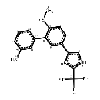 CSc1ccc(-c2c[nH]c(C(F)(F)F)n2)cc1-c1cccc(C)c1